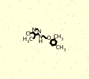 CCc1c(Cl)ncnc1NCCOc1ccc(C)cc1C